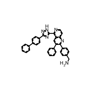 NCc1ccc(-c2nc3ccnc(-c4nc(-c5ccc(-c6ccccc6)cc5)n[nH]4)c3cc2-c2ccccc2)cc1